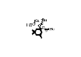 CC(C)(C)OO.CC1CC(C)(C)CC(OOC(C)(C)C)(OOC(C)(C)C)C1